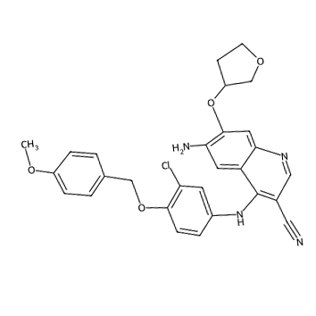 COc1ccc(COc2ccc(Nc3c(C#N)cnc4cc(OC5CCOC5)c(N)cc34)cc2Cl)cc1